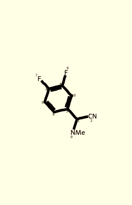 CNC(C#N)c1ccc(F)c(F)c1